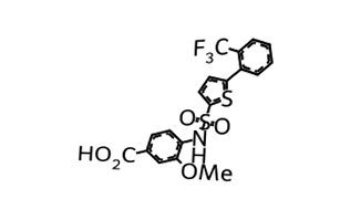 COc1cc(C(=O)O)ccc1NS(=O)(=O)c1ccc(-c2ccccc2C(F)(F)F)s1